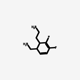 BCCC1C(F)=C(F)C=CC1CB